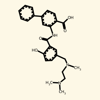 CN(C)CCN(C)Cc1ccc(O)c(C(=O)Nc2cc(-c3ccccc3)ccc2C(=O)O)c1